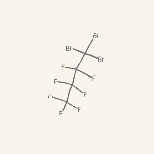 FC(F)(F)C(F)(F)C(F)(F)C(Br)(Br)Br